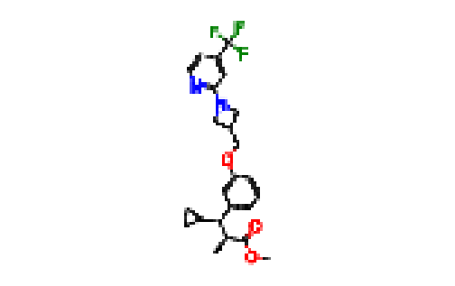 COC(=O)[C@@H](C)[C@H](c1cccc(OCC2CN(c3cc(C(F)(F)F)ccn3)C2)c1)C1CC1